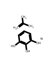 C=C(C)C.Oc1cccc(O)c1O.[N]